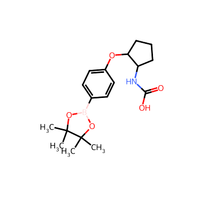 CC1(C)OB(c2ccc(OC3CCCC3NC(=O)O)cc2)OC1(C)C